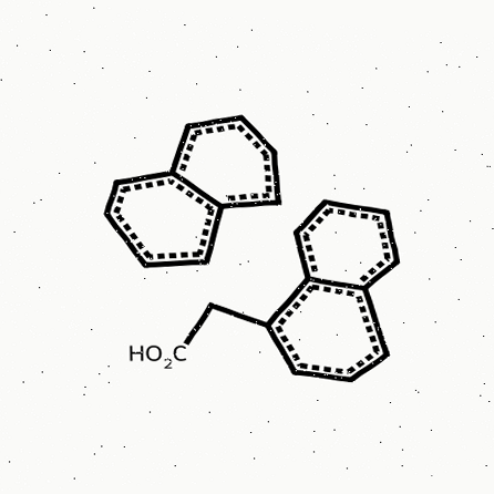 O=C(O)Cc1cccc2ccccc12.c1ccc2ccccc2c1